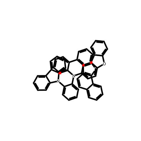 c1ccc(N(c2ccc3oc4ccccc4c3c2)c2ccccc2-n2c3ccccc3c3ccccc32)c(-c2cccc3oc4c5ccccc5ccc4c23)c1